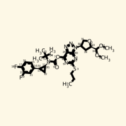 CCCSc1nc(OC(=O)N([C@@H]2C[C@H]2c2ccc(F)c(F)c2)C(C)(C)C)c2nnn([C@H]3CO[C@@H](C(OC)OC)C3)c2n1